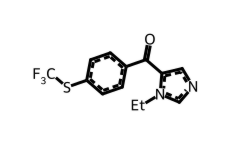 CCn1cncc1C(=O)c1ccc(SC(F)(F)F)cc1